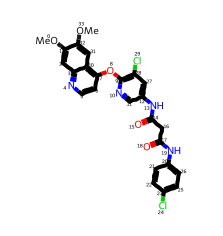 COc1cc2nccc(Oc3ncc(NC(=O)CC(=O)Nc4ccc(Cl)cc4)cc3Cl)c2cc1OC